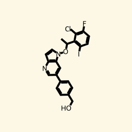 CC(On1ccc2ncc(-c3ccc(CO)cc3)cc21)c1c(I)ccc(F)c1Cl